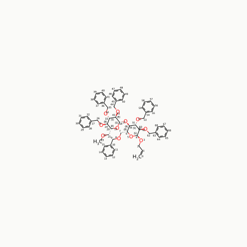 C=CCO[C@H]1O[C@H](COCc2ccccc2)[C@@H](O[C@@H]2O[C@H](COC)[C@@H](OCc3ccccc3)[C@H](OCc3ccccc3)[C@H]2OCc2ccccc2)[C@H](OCc2ccccc2)[C@H]1OCc1ccccc1